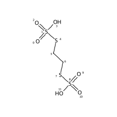 O=S(=O)(O)SCCSS(=O)(=O)O